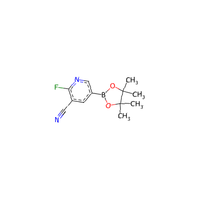 CC1(C)OB(c2cnc(F)c(C#N)c2)OC1(C)C